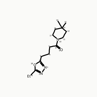 CCc1nnc(CCCC(=O)N2CCC(C)(C)CC2)o1